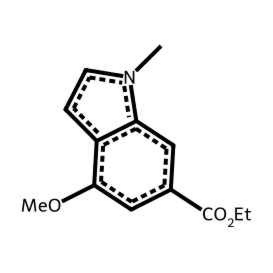 CCOC(=O)c1cc(OC)c2ccn(C)c2c1